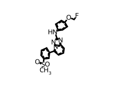 CS(=O)(=O)c1cccc(-c2cccc3nc(Nc4ccc(OCF)cc4)nn23)c1